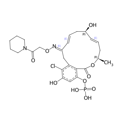 C[C@@H]1C/C=C/[C@H](O)C/C=C/C(=N/OCC(=O)N2CCCCC2)Cc2c(Cl)c(O)cc(OP(=O)(O)O)c2C(=O)O1